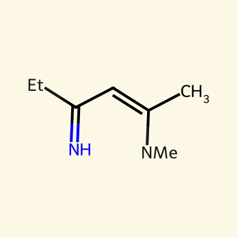 CCC(=N)/C=C(/C)NC